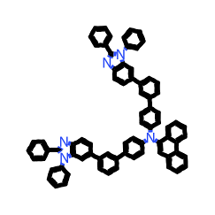 c1ccc(-c2nc3ccc(-c4cccc(-c5ccc(N(c6ccc(-c7cccc(-c8ccc9nc(-c%10ccccc%10)n(-c%10ccccc%10)c9c8)c7)cc6)c6cc7ccccc7c7ccccc67)cc5)c4)cc3n2-c2ccccc2)cc1